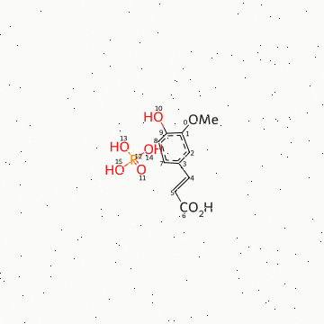 COc1cc(C=CC(=O)O)ccc1O.O=P(O)(O)O